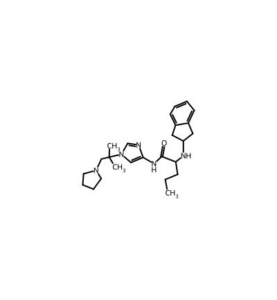 CCCC(NC1Cc2ccccc2C1)C(=O)Nc1cn(C(C)(C)CN2CCCC2)cn1